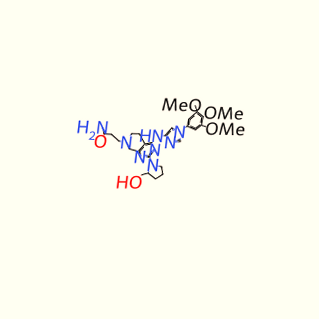 COc1cc(-n2cnc(Nc3nc(N4CCCC4CO)nc4c3CCN(CCC(N)=O)C4)c2)cc(OC)c1OC